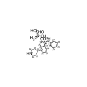 CN(C)C=O.Cl.O=C(O)c1cc2c(C3CCNCC3)cccc2n1Cc1ccccc1